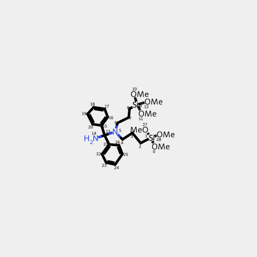 CO[Si](CCCN(CCC[Si](OC)(OC)OC)C(N)(c1ccccc1)c1ccccc1)(OC)OC